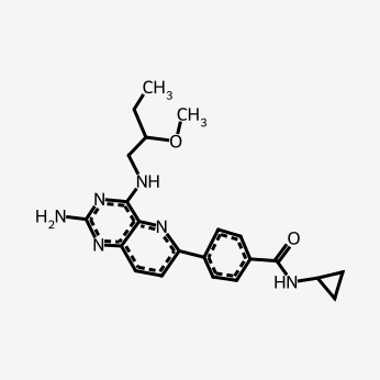 CCC(CNc1nc(N)nc2ccc(-c3ccc(C(=O)NC4CC4)cc3)nc12)OC